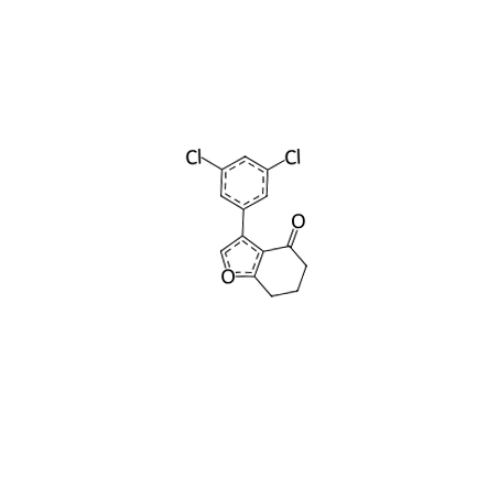 O=C1CCCc2occ(-c3cc(Cl)cc(Cl)c3)c21